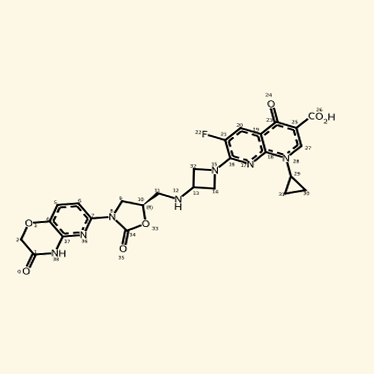 O=C1COc2ccc(N3C[C@@H](CNC4CN(c5nc6c(cc5F)c(=O)c(C(=O)O)cn6C5CC5)C4)OC3=O)nc2N1